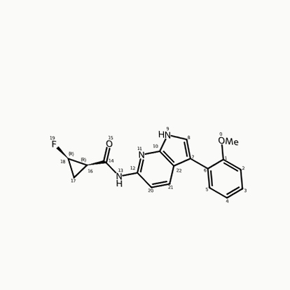 COc1ccccc1-c1c[nH]c2nc(NC(=O)[C@H]3C[C@H]3F)ccc12